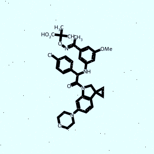 COc1cc(NC(C(=O)N2CC3(CC3)c3ccc(N4CCOCC4)cc32)c2ccc(Cl)cc2)cc(C(C)=NOC(C)(C)C(=O)O)c1